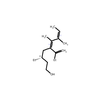 C=C(CC)/C(C[C@@H](CC)CCO)=C(C)\C(C)=C/C